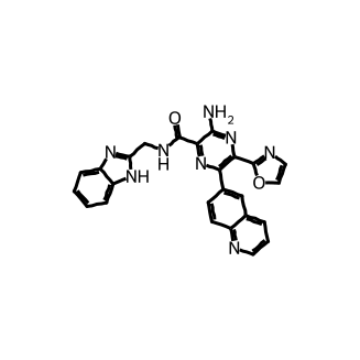 Nc1nc(-c2ncco2)c(-c2ccc3ncccc3c2)nc1C(=O)NCc1nc2ccccc2[nH]1